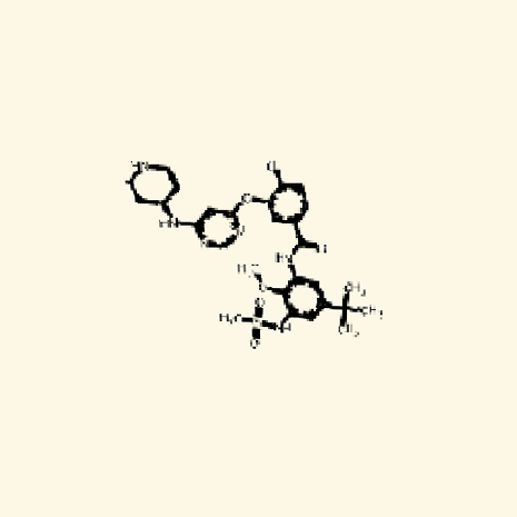 COc1c(NC(=O)c2ccc(Cl)c(Oc3cc(NC4CCNCC4)ncn3)c2)cc(C(C)(C)C)cc1NS(C)(=O)=O